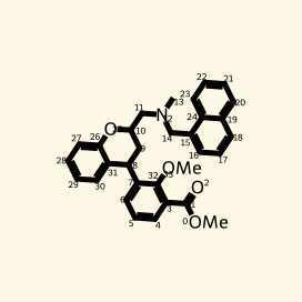 COC(=O)c1cccc(C2CC(CN(C)Cc3cccc4ccccc34)Oc3ccccc32)c1OC